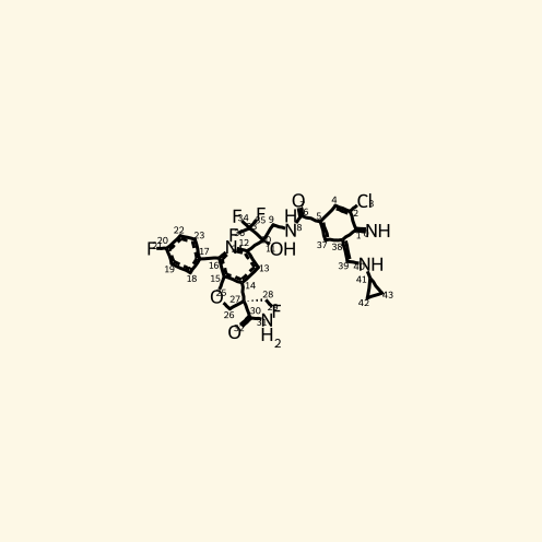 N=C1C(Cl)=CC(C(=O)NC[C@](O)(c2cc3c(c(-c4ccc(F)cc4)n2)OC[C@]3(CF)C(N)=O)C(F)(F)F)=C/C1=C/NC1CC1